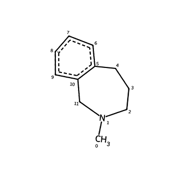 CN1CCCc2cc[c]cc2C1